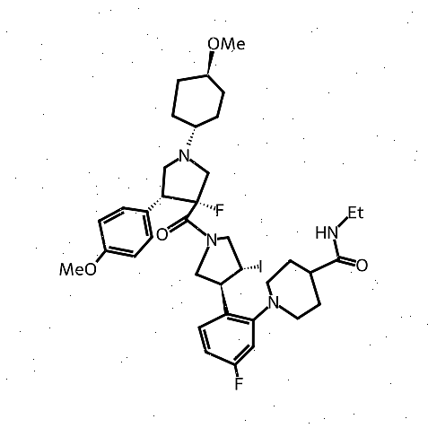 CCNC(=O)C1CCN(c2cc(F)ccc2[C@H]2CN(C(=O)[C@]3(F)CN([C@H]4CC[C@H](OC)CC4)C[C@H]3c3ccc(OC)cc3)C[C@@H]2I)CC1